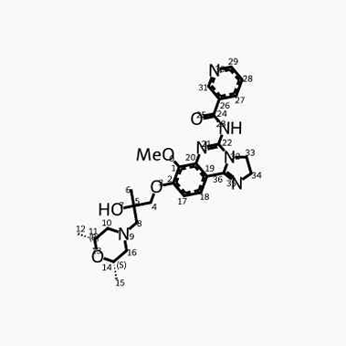 COc1c(OCC(C)(O)CN2C[C@@H](C)O[C@@H](C)C2)ccc2c1N=C(NC(=O)c1cccnc1)N1CCN=C21